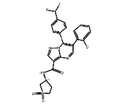 O=C(N[C@H]1CCS(=O)(=O)C1)c1cnn2c(-c3ccc(C(F)F)cc3)c(-c3ccccc3Cl)cnc12